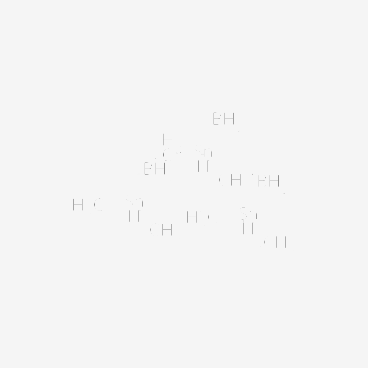 [BH2][SnH]([CH3])[CH3].[BH2][SnH]([CH3])[CH3].[BH2][SnH]([CH3])[CH3]